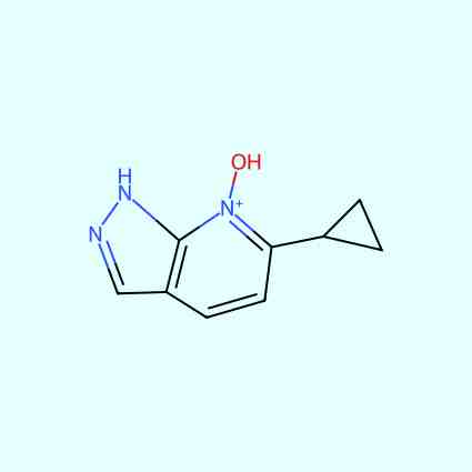 O[n+]1c(C2CC2)ccc2cn[nH]c21